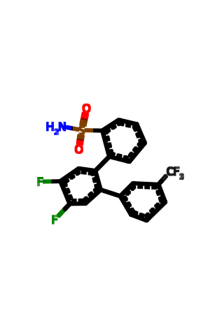 NS(=O)(=O)c1ccccc1-c1cc(F)c(F)cc1-c1cccc(C(F)(F)F)c1